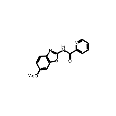 COc1ccc2nc(NC(=O)c3cc[c]cn3)sc2c1